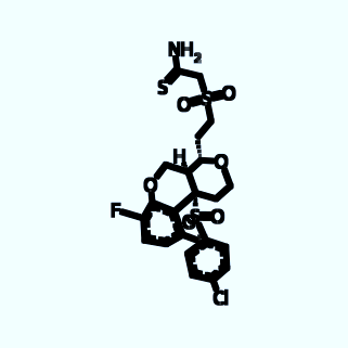 NC(=S)CS(=O)(=O)CC[C@@H]1OCC[C@@]2(S(=O)(=O)c3ccc(Cl)cc3)c3c(F)ccc(F)c3OC[C@@H]12